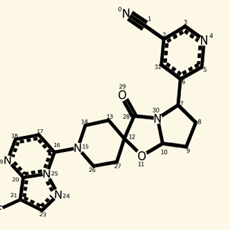 N#Cc1cncc(C2CCC3OC4(CCN(c5ccnc6c(F)cnn56)CC4)C(=O)N32)c1